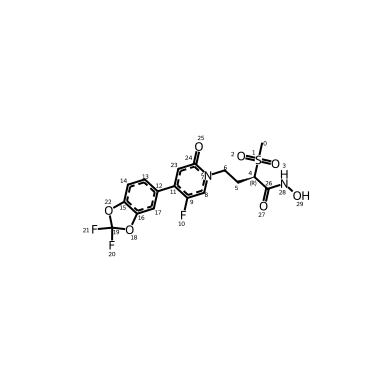 CS(=O)(=O)[C@H](CCn1cc(F)c(-c2ccc3c(c2)OC(F)(F)O3)cc1=O)C(=O)NO